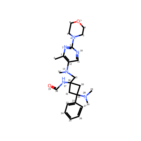 Cc1nc(N2CCOCC2)ncc1N(C)CC1(NC=O)CC(c2ccccc2)(N(C)C)C1